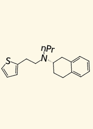 CCCN(CCc1cccs1)[C@H]1CCc2ccccc2C1